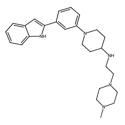 CN1CCN(CCNC2CCN(c3cccc(-c4cc5ccccc5[nH]4)c3)CC2)CC1